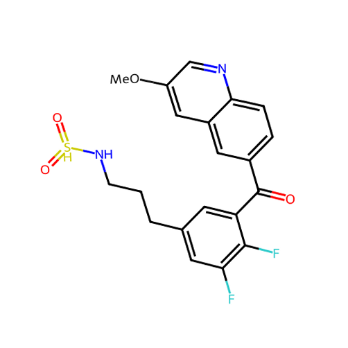 COc1cnc2ccc(C(=O)c3cc(CCCN[SH](=O)=O)cc(F)c3F)cc2c1